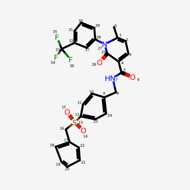 Cc1ccc(C(=O)NCc2ccc(S(=O)(=O)Cc3ccccc3)cc2)c(=O)n1-c1cccc(C(F)(F)F)c1